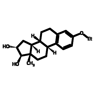 CCOc1ccc2c(c1)CC[C@@H]1[C@@H]2CC[C@]2(C)[C@@H](O)[C@H](O)C[C@@H]12